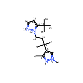 Cc1nn(C)cc1C(C)(C)CCn1nccc1C(C)(C)C